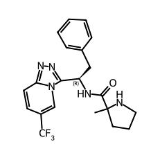 CC1(C(=O)N[C@H](Cc2ccccc2)c2nnc3ccc(C(F)(F)F)cn23)CCCN1